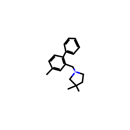 Cc1ccc(-c2ccccc2)c(CN2CCC(C)(C)C2)c1